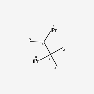 [CH2]C(C)C(C)(C)C(C)C(C)C